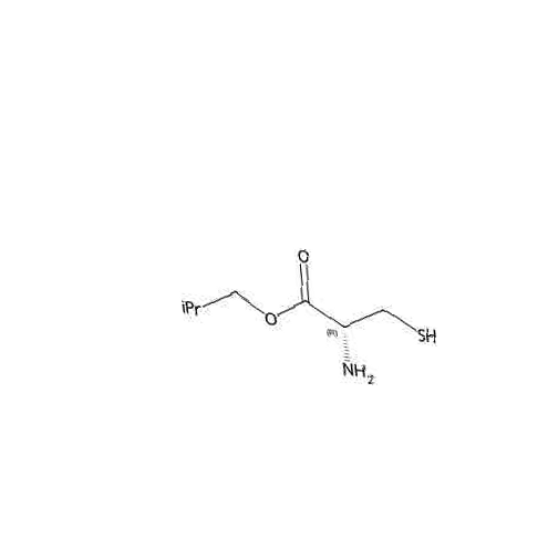 CC(C)COC(=O)[C@@H](N)CS